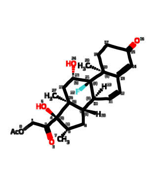 CC(=O)OCC(=O)[C@@]1(O)[C@@H](C)C[C@H]2[C@@H]3C=CC4=CC(=O)CC[C@]4(C)[C@@]3(F)[C@@H](O)C[C@@]21C